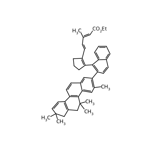 CCOC(=O)/C=C(\C)C=CC1=C(c2c(-c3cc4ccc5c(c4cc3C)C(C)(C)CC3=C5C=CC(C)(C)C3)ccc3ccccc23)CCC1